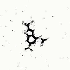 CC(=O)Oc1cc(N(C)C)cc2[nH]c(C(=O)O)cc12